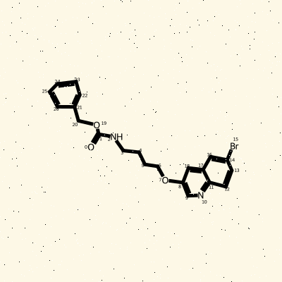 O=C(NCCCCOc1cnc2ccc(Br)cc2c1)OCc1ccccc1